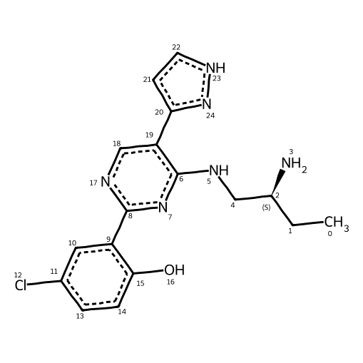 CC[C@H](N)CNc1nc(-c2cc(Cl)ccc2O)ncc1-c1cc[nH]n1